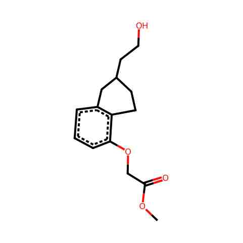 COC(=O)COc1cccc2c1CCC(CCO)C2